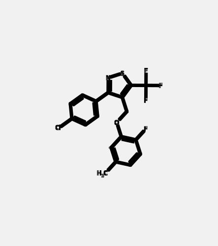 Cc1[c]c(OCc2c(-c3ccc(Cl)cc3)nsc2C(F)(F)F)c(F)cc1